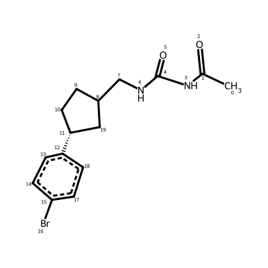 CC(=O)NC(=O)NCC1CC[C@@H](c2ccc(Br)cc2)C1